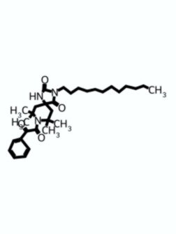 CCCCCCCCCCCCN1C(=O)NC2(CC(C)(C)N(C(=O)C(=O)c3ccccc3)C(C)(C)C2)C1=O